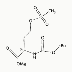 COC(=O)[C@H](CCOS(C)(=O)=O)NC(=O)OC(C)(C)C